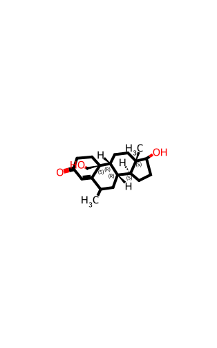 CC1C[C@@H]2[C@@H](CC[C@]3(C)C(O)CC[C@@H]23)[C@@]2(CO)CCC(=O)C=C12